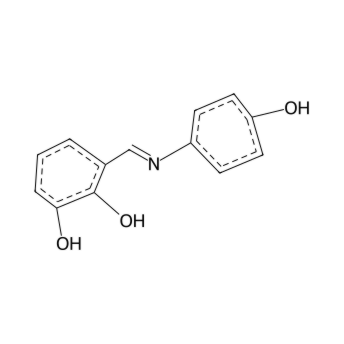 Oc1ccc(N=Cc2cccc(O)c2O)cc1